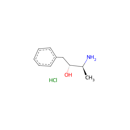 C[C@H](N)[C@H](O)Cc1ccccc1.Cl